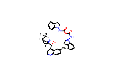 CC[C@H]1C[N@]2CC[C@H]1C[C@@H]2[C@@H](O)c1ccnc2ccc(OC)cc12.O=C(NN1CCc2ccccc21)OC(=O)NN1CCc2ccccc21